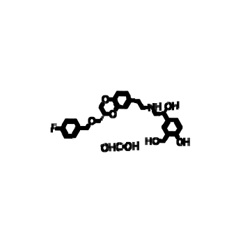 O=CO.OCc1cc([C@@H](O)CNCCc2ccc3c(c2)O[C@H](COCc2ccc(F)cc2)CO3)ccc1O